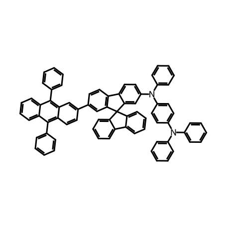 c1ccc(-c2c3ccccc3c(-c3ccccc3)c3cc(-c4ccc5c(c4)C4(c6ccccc6-c6ccccc64)c4cc(N(c6ccccc6)c6ccc(N(c7ccccc7)c7ccccc7)cc6)ccc4-5)ccc23)cc1